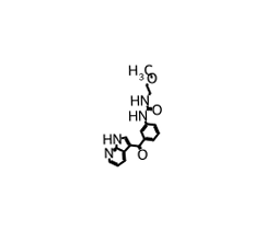 COCCNC(=O)Nc1cccc(C(=O)c2c[nH]c3ncccc23)c1